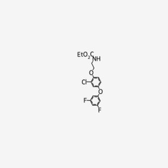 CCOC(=O)NCCOc1ccc(Oc2cc(F)cc(F)c2)cc1Cl